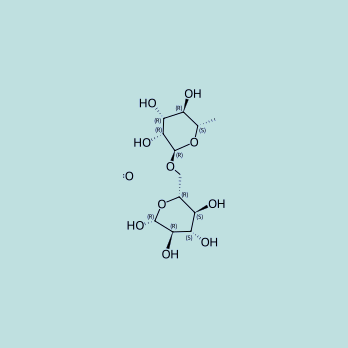 C[C@@H]1O[C@@H](OC[C@H]2O[C@@H](O)[C@H](O)[C@@H](O)[C@@H]2O)[C@H](O)[C@H](O)[C@H]1O.[O]